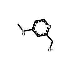 CNc1ccnc(CO)c1